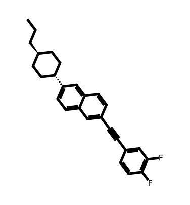 CCC[C@H]1CC[C@H](c2ccc3cc(C#Cc4ccc(F)c(F)c4)ccc3c2)CC1